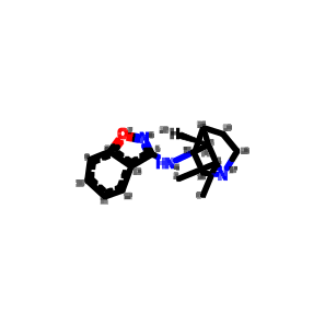 CC1(C)[C@H](Nc2noc3ccccc23)C2CCN1CC2